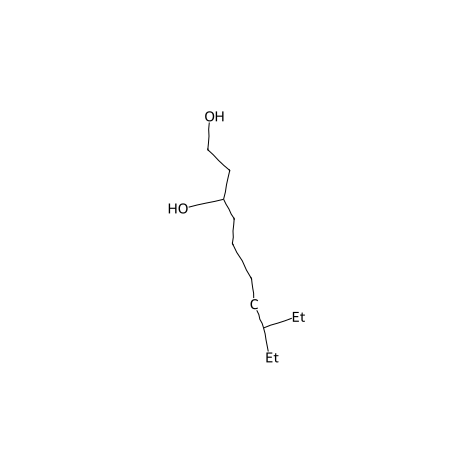 CCC(CC)CCCCC(O)CCO